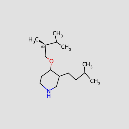 CC(C)CCC1CNCCC1OC[C@@H](C)C(C)C